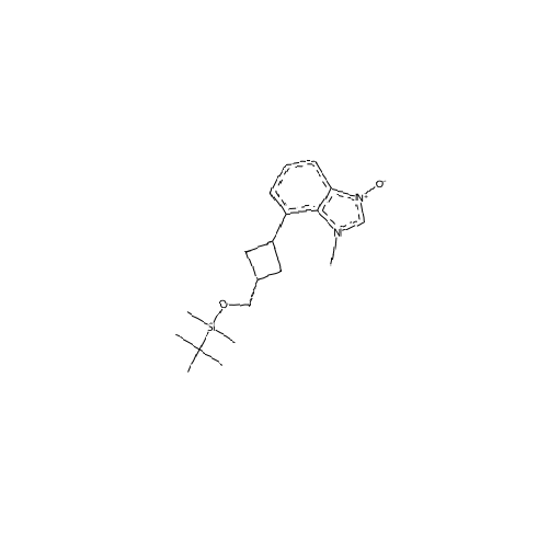 Cn1c[n+]([O-])c2cccc(C3CC(CO[Si](C)(C)C(C)(C)C)C3)c21